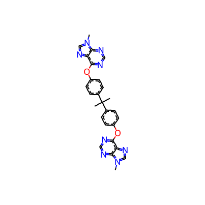 Cn1cnc2c(Oc3ccc(C(C)(C)c4ccc(Oc5ncnc6c5ncn6C)cc4)cc3)ncnc21